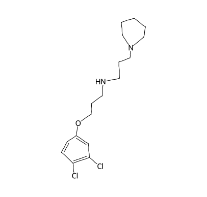 Clc1ccc(OCCCNCCCN2CCCCC2)cc1Cl